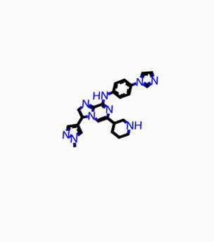 Cn1cc(C2CN=C3C(Nc4ccc(-n5ccnc5)cc4)=NC(C4CCCNC4)=CN32)cn1